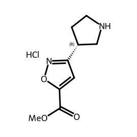 COC(=O)c1cc([C@@H]2CCNC2)no1.Cl